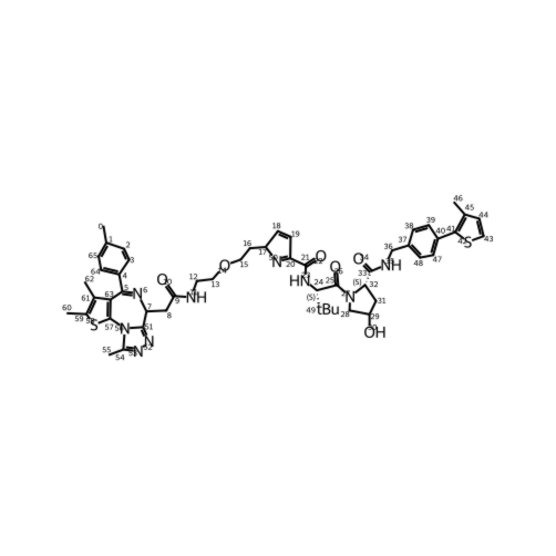 Cc1ccc(C2=NC(CC(=O)NCCOCCC3C=CC(C(=O)N[C@H](C(=O)N4CC(O)C[C@H]4C(=O)NCc4ccc(-c5sccc5C)cc4)C(C)(C)C)=N3)c3nnc(C)n3-c3sc(C)c(C)c32)cc1